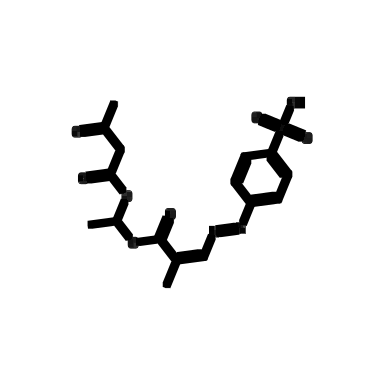 CC(=O)CC(=O)OC(C)OC(=O)C(C)=CN=Nc1ccc(S(=O)(=O)O)cc1